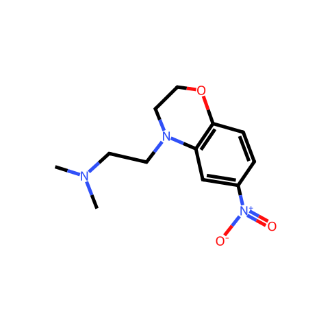 CN(C)CCN1CCOc2ccc([N+](=O)[O-])cc21